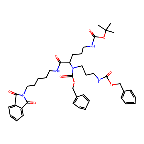 CC(C)(C)OC(=O)NCCCC(C(=O)NCCCCCN1C(=O)c2ccccc2C1=O)N(CCCNC(=O)OCc1ccccc1)C(=O)OCc1ccccc1